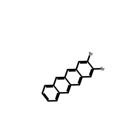 Brc1cc2cc3cc4ccccc4cc3cc2cc1Br